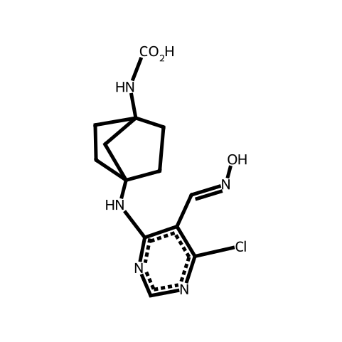 O=C(O)NC12CCC(Nc3ncnc(Cl)c3C=NO)(CC1)C2